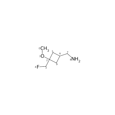 COC1(CF)CC(CN)C1